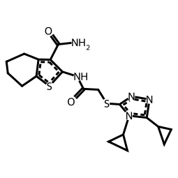 NC(=O)c1c(NC(=O)CSc2nnc(C3CC3)n2C2CC2)sc2c1CCCC2